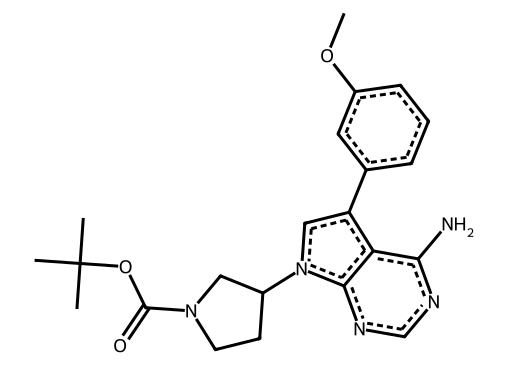 COc1cccc(-c2cn(C3CCN(C(=O)OC(C)(C)C)C3)c3ncnc(N)c23)c1